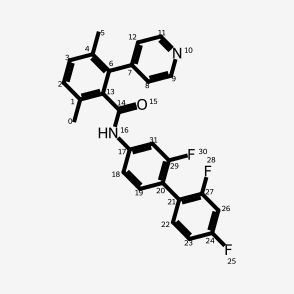 Cc1ccc(C)c(-c2ccncc2)c1C(=O)Nc1ccc(-c2ccc(F)cc2F)c(F)c1